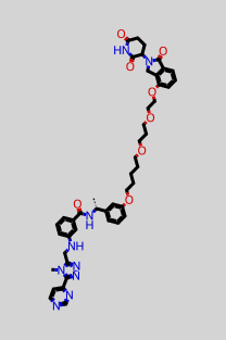 C[C@@H](NC(=O)c1cccc(NCc2nnc(-c3ccncn3)n2C)c1)c1cccc(OCCCCCOCCCOCCOc2cccc3c2CN(C2CCC(=O)NC2=O)C3=O)c1